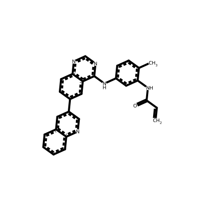 C=CC(=O)Nc1cc(Nc2ncnc3ccc(-c4cnc5ccccc5c4)cc23)ccc1C